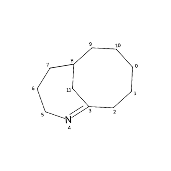 C1CCC2=NCCCC(CC1)C2